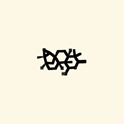 CC1(C)C(=O)OC(O)[C@@]2(C)[C@H]1CC[C@]13C[C@@H](CC[C@@H]12)[C@@]1(C)OC31